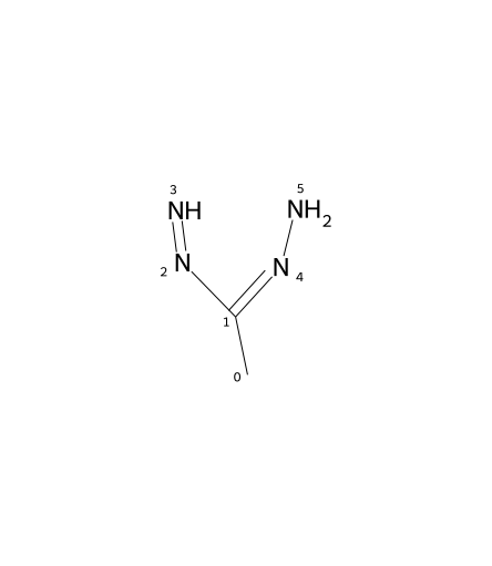 CC(N=N)=NN